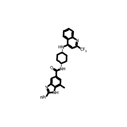 CCCc1nc2cc(C(=O)N[C@H]3CC[C@@H](Nc4cc(C(F)(F)F)nc5ccccc45)CC3)cc(C)c2[nH]1